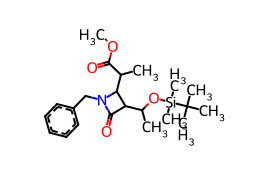 COC(=O)C(C)C1C(C(C)O[Si](C)(C)C(C)(C)C)C(=O)N1Cc1ccccc1